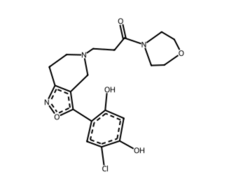 O=C(CCN1CCc2noc(-c3cc(Cl)c(O)cc3O)c2C1)N1CCOCC1